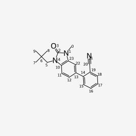 Cn1c(=O)n(CC(C)(C)C)c2ccc(-c3ccccc3C#N)cc21